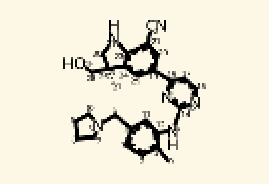 Cc1ccc(CN2CCCC2)cc1Nc1nccc(-c2cc(C#N)c3c(c2)[C@@](C)(CO)CN3)n1